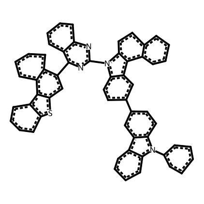 c1ccc(-n2c3ccccc3c3cc(-c4ccc5c(c4)c4c6ccccc6ccc4n5-c4nc(-c5cc6sc7ccccc7c6c6ccccc56)c5ccccc5n4)ccc32)cc1